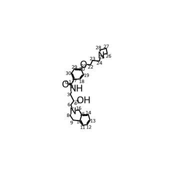 O=C(NC[C@H](O)CN1CCc2ccccc2C1)c1ccc(OCCCN2CCC2)cc1